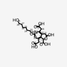 O=C(O)CC1=C(CC(=O)O)C(CC(=O)O)=C(CC(=O)O)NC(OCCCCCCO)=N1